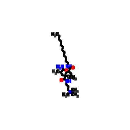 CCCCCCCCCCCCNC(=O)C(CC)CC(C)(CC(C)C(N)=O)C(=O)NCCC[N+](C)(C)C